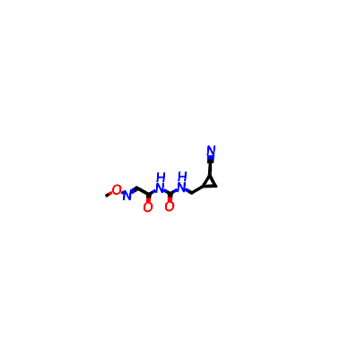 CON=CC(=O)NC(=O)NCC1CC1C#N